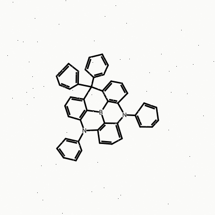 c1ccc(N2c3cccc4c3B3c5c2cccc5C(c2ccccc2)(c2ccccc2)c2cccc(c23)N4c2ccccc2)cc1